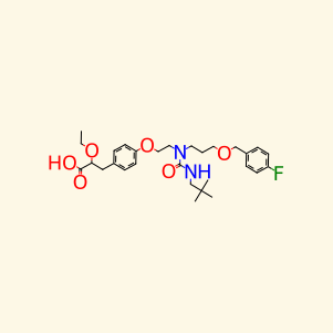 CCOC(Cc1ccc(OCCN(CCCOCc2ccc(F)cc2)C(=O)NCC(C)(C)C)cc1)C(=O)O